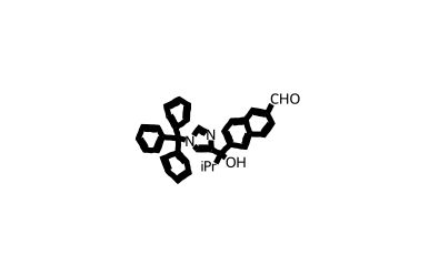 CC(C)C(O)(c1ccc2cc(C=O)ccc2c1)c1cn(C(c2ccccc2)(c2ccccc2)c2ccccc2)cn1